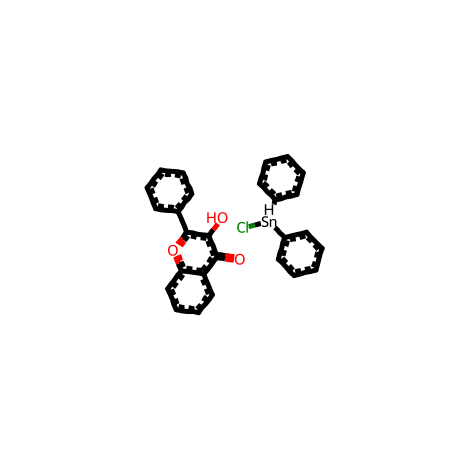 O=c1c(O)c(-c2ccccc2)oc2ccccc12.[Cl][SnH]([c]1ccccc1)[c]1ccccc1